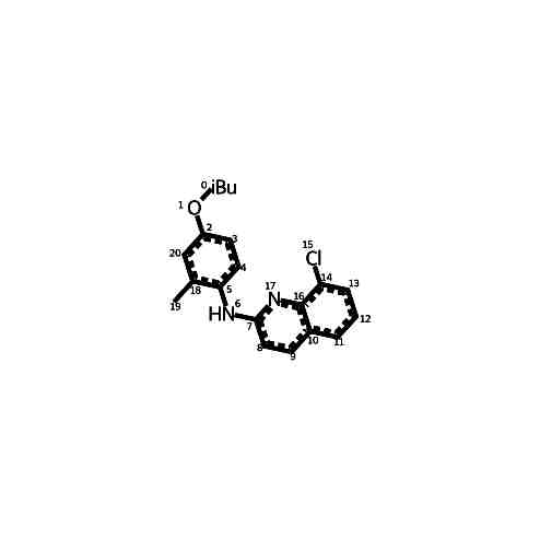 CCC(C)Oc1ccc(Nc2ccc3cccc(Cl)c3n2)c(C)c1